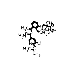 C=Cc1c(C(=C)/N=C(\ON)c2cnc(OC(C)C)c(Cl)c2)cccc1N(N)CC(C)(C)C(=O)O